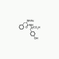 CC(=O)NC(Cc1[c]cccc1)C(=O)N[C@H](Cc1ccc(O)cc1)C(=O)O